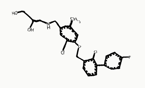 Cc1cc(OCc2cccc(-c3ccc(F)cc3)c2Cl)c(Cl)cc1CNCC(O)CO